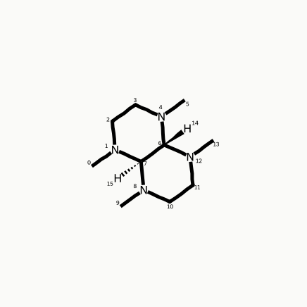 CN1CCN(C)[C@H]2[C@H]1N(C)CCN2C